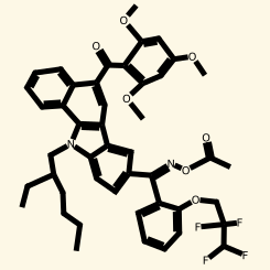 CCCCC(CC)Cn1c2ccc(/C(=N/OC(C)=O)c3ccccc3OCC(F)(F)C(F)F)cc2c2cc(C(=O)c3c(OC)cc(OC)cc3OC)c3ccccc3c21